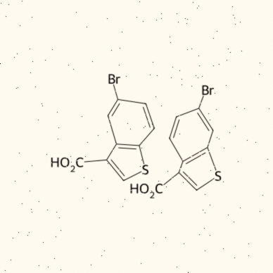 O=C(O)c1csc2cc(Br)ccc12.O=C(O)c1csc2ccc(Br)cc12